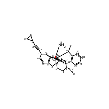 CO[C@H]1CC[C@]2(CC1)Cc1ccc(C#CC3CC3)cc1C21N=C(N)N(C(C)c2cccnn2)C1=O